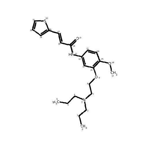 CCCN(CCC)CCOc1cc(NC(=O)C=Cc2cccs2)ccc1OC